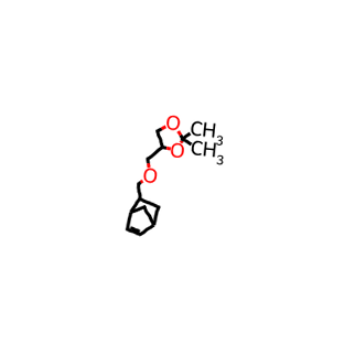 CC1(C)OCC(COCC2CC3C=CC2C3)O1